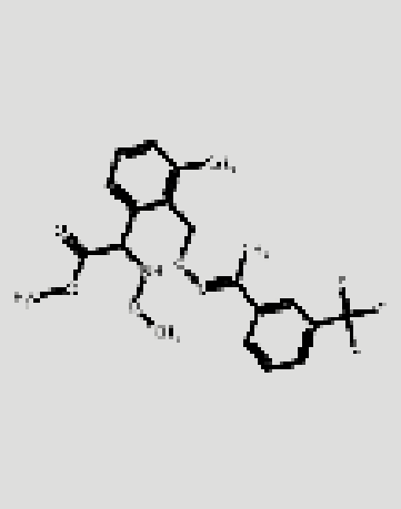 CONC(C(=O)OC)c1cccc(C)c1CO/N=C(\C)c1cccc(C(F)(F)F)c1